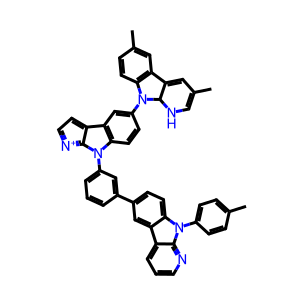 CC1=CNC2C(=C1)c1cc(C)ccc1N2c1ccc2c(c1)c1c(n2-c2cccc(-c3ccc4c(c3)c3cccnc3n4-c3ccc(C)cc3)c2)=[N+]=CC=1